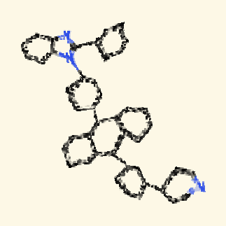 c1ccc(-c2nc3ccccc3n2-c2ccc(-c3c4ccccc4c(-c4cccc(-c5ccncc5)c4)c4ccccc34)cc2)cc1